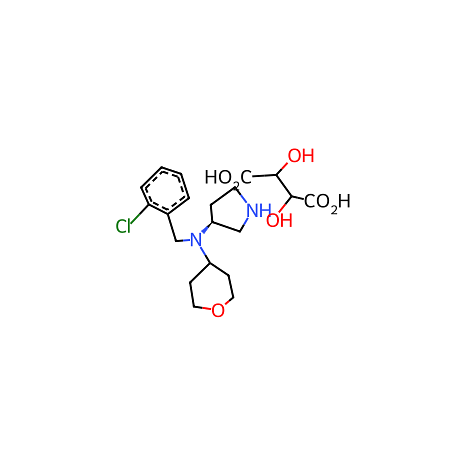 Clc1ccccc1CN(C1CCOCC1)[C@H]1CCNC1.O=C(O)C(O)C(O)C(=O)O